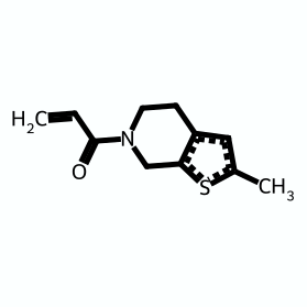 C=CC(=O)N1CCc2cc(C)sc2C1